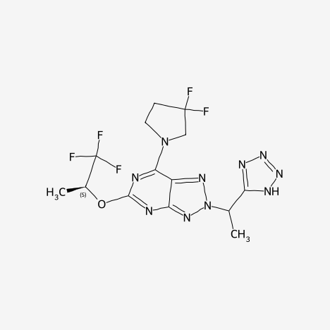 CC(c1nnn[nH]1)n1nc2nc(O[C@@H](C)C(F)(F)F)nc(N3CCC(F)(F)C3)c2n1